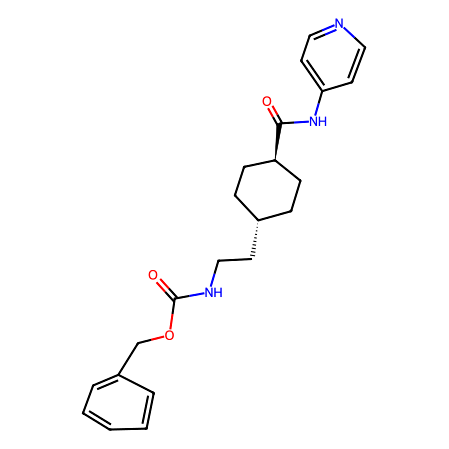 O=C(NCC[C@H]1CC[C@H](C(=O)Nc2ccncc2)CC1)OCc1ccccc1